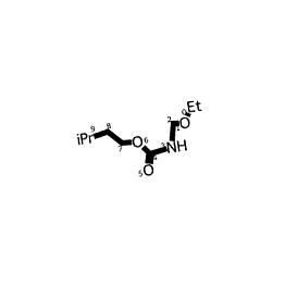 CCOCNC(=O)OCCC(C)C